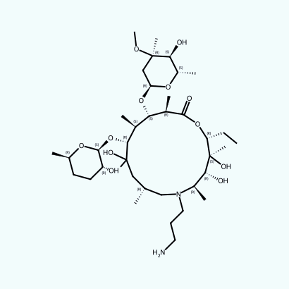 CC[C@H]1OC(=O)[C@H](C)[C@@H](O[C@H]2C[C@@](C)(OC)[C@@H](O)[C@H](C)O2)[C@H](C)[C@@H](O[C@@H]2O[C@H](C)CC[C@H]2O)C(C)(O)C[C@@H](C)CN(CCCN)[C@H](C)[C@@H](O)[C@]1(C)O